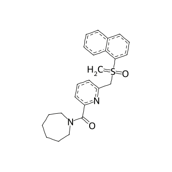 C=S(=O)(Cc1cccc(C(=O)N2CCCCCC2)n1)c1cccc2ccccc12